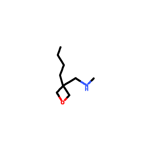 CCCCC1(CNC)COC1